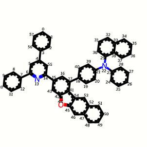 c1ccc(-c2cc(-c3ccccc3)nc(-c3cc(-c4ccc(N(c5ccccc5)c5cccc6ccccc56)cc4)c4c(c3)oc3cc5ccccc5cc34)c2)cc1